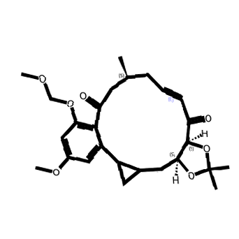 COCOc1cc(OC)cc2c1C(=O)C[C@@H](C)C/C=C/C(=O)[C@H]1OC(C)(C)O[C@H]1CC1CC21